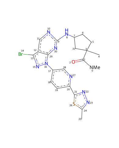 CNC(=O)C1(C)CCC(Nc2ncc3c(Br)nn(-c4ccc(-c5nnc(C)s5)nc4)c3n2)C1